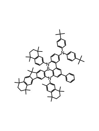 Cc1cc2c(cc1N1c3cc4c(cc3B3c5c(cc(-c6ccccc6)cc51)-c1cc(N(c5ccc(C(C)(C)C)cc5)c5ccc(C(C)(C)C)cc5)ccc1N3c1ccc3c(c1)C(C)(C)CCC3(C)C)C(C)(C)c1cc3c(cc1-4)C(C)(C)CCC3(C)C)C(C)(C)CCC2(C)C